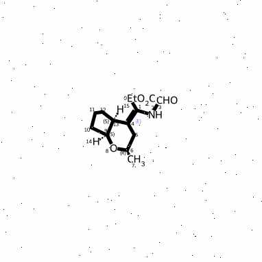 CCOC(=O)/C(NC=O)=C1/C[C@@H](C)O[C@H]2CCC[C@@H]12